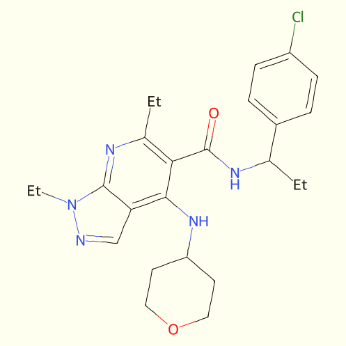 CCc1nc2c(cnn2CC)c(NC2CCOCC2)c1C(=O)NC(CC)c1ccc(Cl)cc1